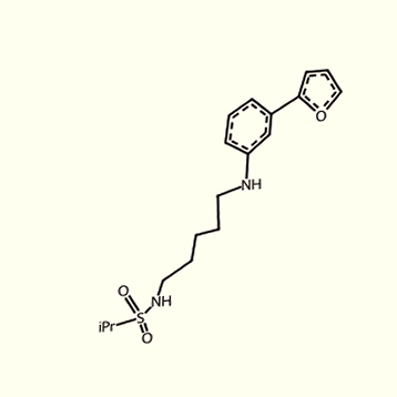 CC(C)S(=O)(=O)NCCCCCNc1cccc(-c2ccco2)c1